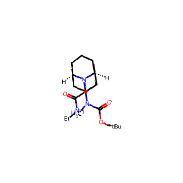 CCNC(=O)CN1[C@@H]2CCC[C@H]1CC(N(C)C(=O)OC(C)(C)C)C2